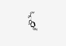 O=C(O)C[C@H]1COc2cc(O)ccc21